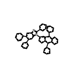 c1ccc(-c2cc3nc(-c4ccccc4)n(-c4ccc5c(-c6ccccc6)c6ccccc6c(-c6ccccc6)c5c4)c3cc2-c2ccccc2)cc1